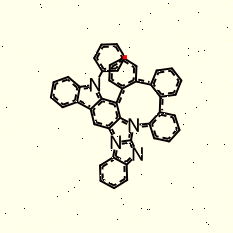 c1ccc(-n2c3ccccc3c3cc4c5c(c6ccccc6c6ccccc6c6ccccc6n5c5nc6ccccc6n45)c32)cc1